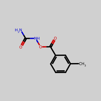 Cc1cccc(C(=O)ONC(N)=O)c1